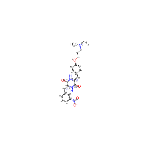 CN(C)CCCOc1ccc(/C=c2\[nH]c(=O)/c(=C/c3cccc([N+](=O)[O-])c3)[nH]c2=O)cc1